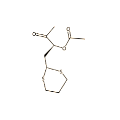 CC(=O)O[C@@H](CC1SCCCS1)C(C)=O